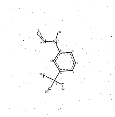 CN(N=O)c1cccc(C(F)(F)F)c1